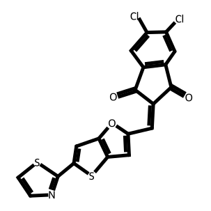 O=C1C(=Cc2cc3sc(-c4nccs4)cc3o2)C(=O)c2cc(Cl)c(Cl)cc21